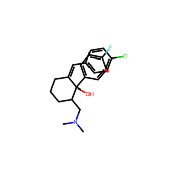 CN(C)CC1CCC/C(=C/c2ccc(Cl)cc2)C1(O)c1ccc(F)cc1